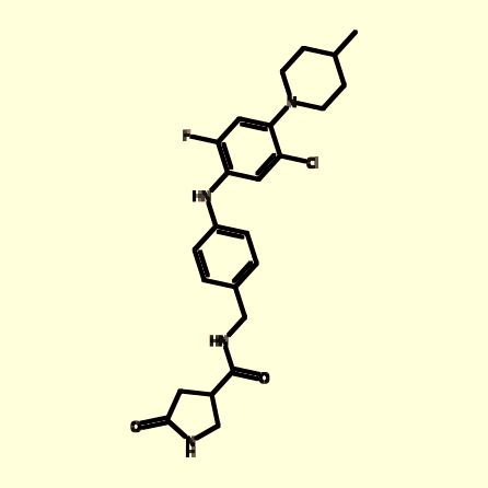 CC1CCN(c2cc(F)c(Nc3ccc(CNC(=O)C4CNC(=O)C4)cc3)cc2Cl)CC1